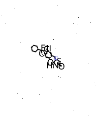 CCC(Oc1ccc(/C=C2/SC(=O)NC2=O)cc1Cl)C1CCCCC1